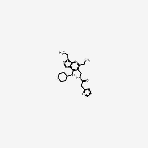 CCc1nc2c(cnn2CC)c(NC2CCOCC2)c1CNC(=O)Cc1ccco1